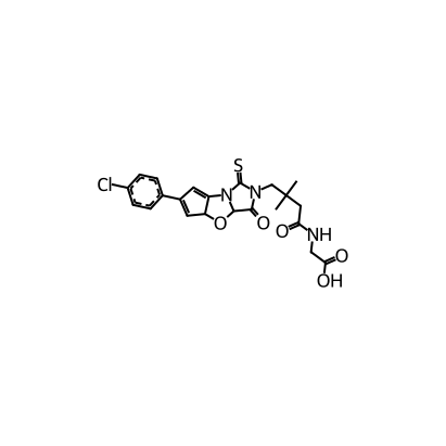 CC(C)(CC(=O)NCC(=O)O)CN1C(=O)C2OC3C=C(c4ccc(Cl)cc4)C=C3N2C1=S